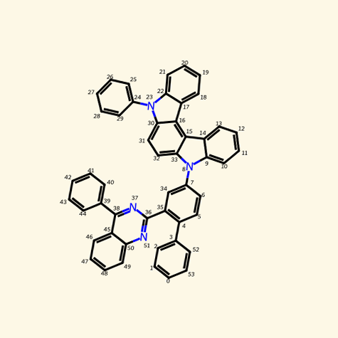 c1ccc(-c2ccc(-n3c4ccccc4c4c5c6ccccc6n(-c6ccccc6)c5ccc43)cc2-c2nc(-c3ccccc3)c3ccccc3n2)cc1